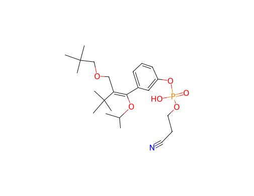 CC(C)OC(=C(COCC(C)(C)C)C(C)(C)C)c1cccc(OP(=O)(O)OCCC#N)c1